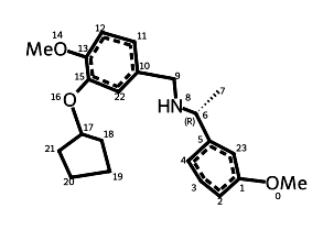 COc1cccc([C@@H](C)NCc2ccc(OC)c(OC3CCCC3)c2)c1